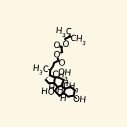 CC(C)COC(=O)COC(=O)CC[C@@H](C)[C@H]1CC[C@H]2[C@@H]3[C@H](O)C[C@@H]4C[C@H](O)CC[C@]4(C)[C@H]3C[C@H](O)[C@]12C